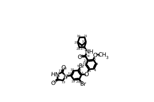 COc1ccc(Oc2c(Br)cc(N3CC(=O)NC3=O)cc2Br)cc1C(=O)NC1CC2CCC1C2